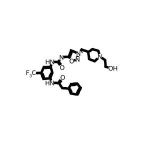 O=C(Cc1ccccc1)Nc1cc(NC(=O)[N-]c2c[n+](CC3CCN(CCO)CC3)no2)cc(C(F)(F)F)c1